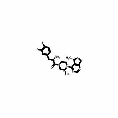 C[C@@H]1SCc2ncnc(N3CCN(C(=O)[C@H](N)Cc4ccc(F)c(F)c4)C[C@@H]3C)c21